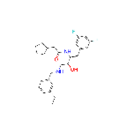 CCc1cccc(CNC[C@H](O)[C@H](Cc2cc(F)cc(F)c2)NC(=O)CC2CCCC2)c1